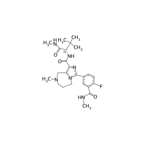 CNC(=O)c1cc(-c2nc(C(=O)N[C@H](C(=O)NC)C(C)(C)C)c3n2CCCN(C)C3)ccc1F